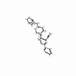 N#Cc1cc(-c2ccccc2)nnc1N1CCN(CC2CC3CCC2C3)CC1